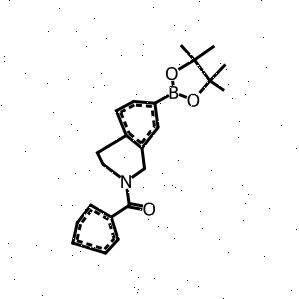 CC1(C)OB(c2ccc3c(c2)CN(C(=O)c2ccccc2)CC3)OC1(C)C